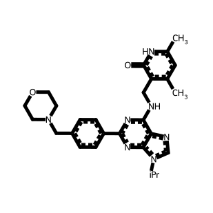 Cc1cc(C)c(CNc2nc(-c3ccc(CN4CCOCC4)cc3)nc3c2ncn3C(C)C)c(=O)[nH]1